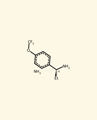 CC[C@H](N)c1ccc(OC(F)(F)F)cc1.N